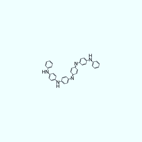 C1=CC(=Nc2ccc(Nc3ccc(Nc4ccccc4)cc3)cc2)C=CC1=Nc1ccc(Nc2ccccc2)cc1